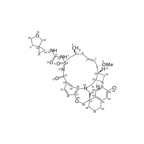 CO[C@H]1/C=C/C[C@H](C)CS(=O)(NC(=O)N[C@@H]2CC23CCOC3)=NC(=O)c2ccc3c(c2)N(C[C@@H]2CC[C@H]21)C[C@@]1(CCCc2cc(Cl)ccc21)CO3